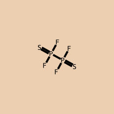 FP(F)(=S)P(F)(F)=S